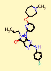 C=CCn1c(=O)c2cnc(Nc3ccc(F)cc3)nc2n1-c1cccc(OC2CCCN(C)CC2)n1